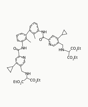 CCOC(=O)C(NCc1cnc(C(=O)Nc2cccc(-c3cccc(NC(=O)c4cc(C5CC5)c(CNC(C(=O)OCC)C(=O)OCC)cn4)c3C)c2C)cc1C1CC1)C(=O)OCC